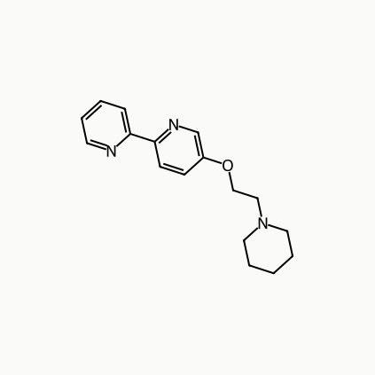 c1ccc(-c2ccc(OCCN3CCCCC3)cn2)nc1